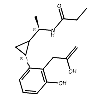 C=C(O)Cc1c(O)cccc1[C@@H]1CC1[C@@H](C)NC(=O)CC